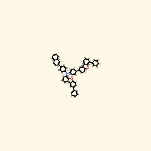 c1ccc(-c2ccc3oc4c(N(c5ccc(-c6ccc7ccccc7c6)cc5)c5ccc(-c6ccc7oc8c(-c9ccccc9)cccc8c7c6)cc5)cccc4c3c2)cc1